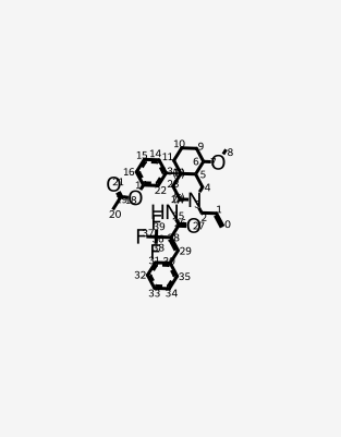 C=CCN1CC2C(OC)CCC[C@@]2(c2cccc(OC(C)=O)c2)C[C@H]1NC(=O)C(=Cc1ccccc1)C(F)(F)F